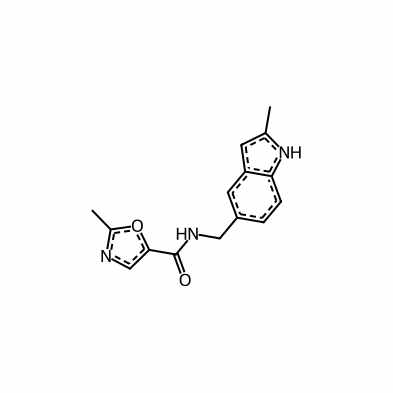 Cc1cc2cc(CNC(=O)c3cnc(C)o3)ccc2[nH]1